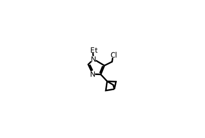 CCn1cnc(C23CC(C2)C3)c1CCl